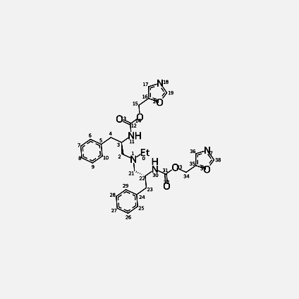 CCN(C[C@@H](Cc1ccccc1)NC(=O)OCc1cnco1)C[C@@H](Cc1ccccc1)NC(=O)OCc1cnco1